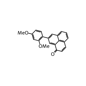 COc1ccc(-c2cc3c4c(cccc4c2)C=CC3=O)c(OC)c1